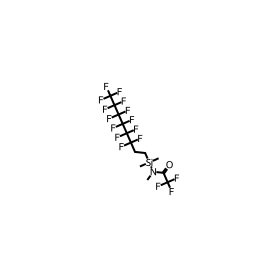 CN(C(=O)C(F)(F)F)[Si](C)(C)CCC(F)(F)C(F)(F)C(F)(F)C(F)(F)C(F)(F)C(F)(F)F